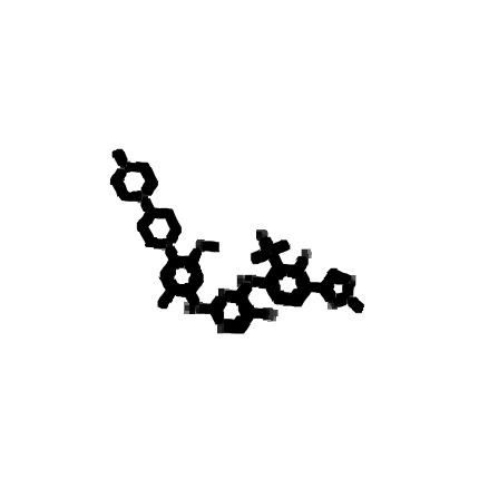 COc1cc(Nc2ncc(Br)c(Nc3ccc(-c4cnn(C)n4)c(F)c3P(C)(C)=O)n2)c(C)cc1N1CCC(N2CCN(C)CC2)CC1